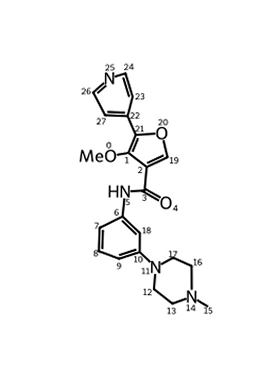 COc1c(C(=O)Nc2cccc(N3CCN(C)CC3)c2)coc1-c1ccncc1